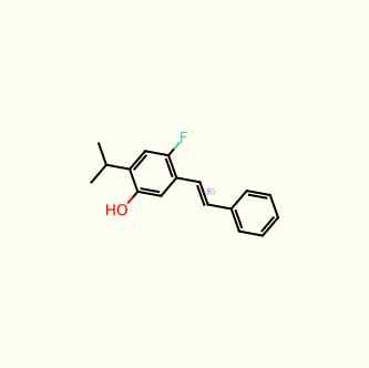 CC(C)c1cc(F)c(/C=C/c2ccccc2)cc1O